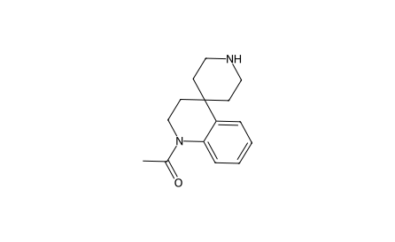 CC(=O)N1CCC2(CCNCC2)c2ccccc21